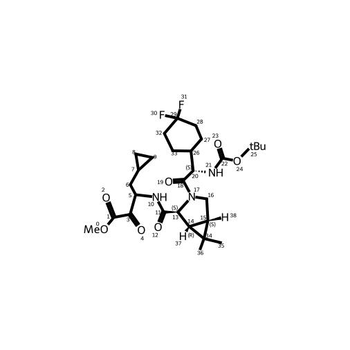 COC(=O)C(=O)C(CC1CC1)NC(=O)[C@@H]1[C@@H]2[C@H](CN1C(=O)[C@@H](NC(=O)OC(C)(C)C)C1CCC(F)(F)CC1)C2(C)C